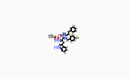 CC(C)(C)OC(=O)N[C@H](Cc1c[nH]c2ccccc12)c1nnc(CCc2ccccc2)n1Cc1ccc(F)cc1